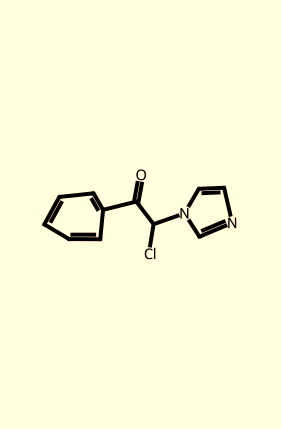 O=C(c1ccccc1)C(Cl)n1ccnc1